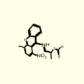 CCC(=O)OC(C)CNc1c2ccccc2nc2c(C)ccc([N+](=O)[O-])c12